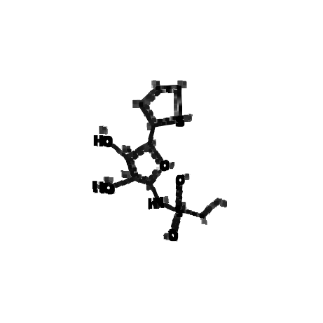 CCS(=O)(=O)Nc1oc(-c2cccs2)c(O)c1O